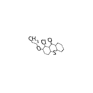 CCCOC1CCC2SC3CCCCC3C(=O)C2C1Cl